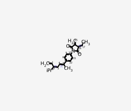 C=C/C(=C\C=C(/C)c1ccc(N2C(=O)C(=C)/C(=C\C)C2=O)cc1)C(C)C